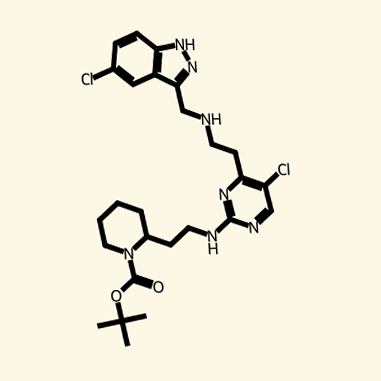 CC(C)(C)OC(=O)N1CCCCC1CCNc1ncc(Cl)c(CCNCc2n[nH]c3ccc(Cl)cc23)n1